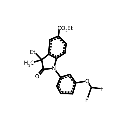 CCOC(=O)c1ccc2c(c1)C(C)(CC)C(=O)N2c1cccc(OC(F)F)c1